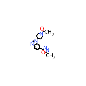 CC(=O)N1CCC(n2cnc3ccc(-c4nnc(C)o4)cc32)CC1